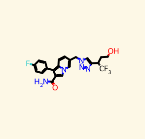 NC(=O)c1cn2cc(Cn3cc(C(CCO)C(F)(F)F)nn3)ccc2c1-c1ccc(F)cc1